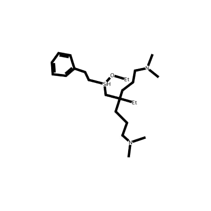 CCO[SiH](CCc1ccccc1)CC(CC)(CCCN(C)C)CCCN(C)C